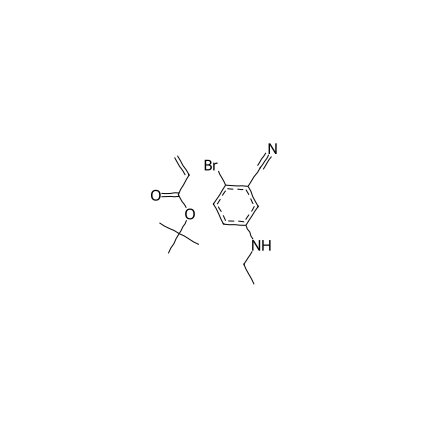 C=CC(=O)OC(C)(C)C.CCNc1ccc(Br)c(C#N)c1